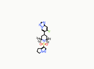 [2H]C1([2H])CC(c2cn3ncnc3cc2F)CC([2H])([2H])N1S(=O)(=O)c1cnn2c1CCC2